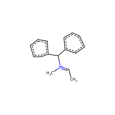 CC=[N+](C)C(c1ccccc1)c1ccccc1